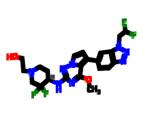 COc1nc(N[C@@H]2CCN(CCO)CC2(F)F)nn2ccc(-c3ccc4nnn(CC(F)F)c4c3)c12